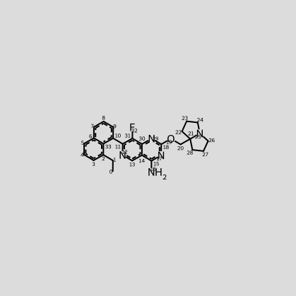 CCc1cccc2cccc(-c3ncc4c(N)nc(OCC56CCCN5CCC6)nc4c3F)c12